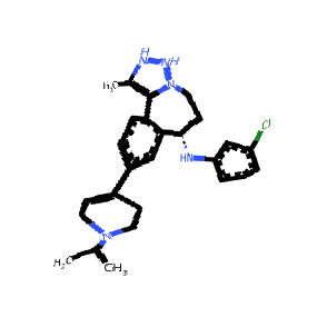 CC1=C2c3ccc(C4=CCN(C(C)C)CC4)cc3[C@@H](Nc3cccc(Cl)c3)CCN2NN1